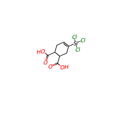 O=C(O)C1CC=C([Si](Cl)(Cl)Cl)CC1C(=O)O